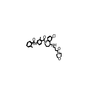 Cc1ccccc1C(=O)Nc1ccc(C(=O)N2CCCC(NCCCC(=O)N3CCOCC3)c3cc(Cl)ccc32)c(C)c1